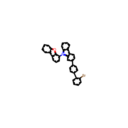 Brc1ccccc1-c1ccc(-c2ccc3c4ccccc4n(-c4cccc5c4oc4ccccc45)c3c2)cc1